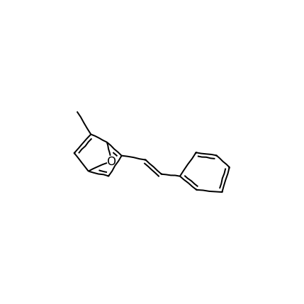 Cc1cc2cc(C=Cc3ccccc3)c1o2